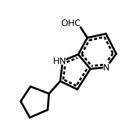 O=Cc1ccnc2cc(C3CCCC3)[nH]c12